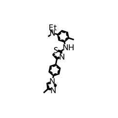 CCN(C)c1ccc(C)c(Nc2nc(-c3ccc(-n4cnc(C)c4)cc3)cs2)c1